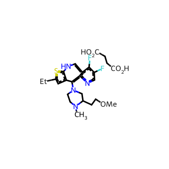 CCc1cc2c(s1)NC=c1c(F)c(F)cnc1=C2N1CCN(C)C(CCOC)C1.O=C(O)CCC(=O)O